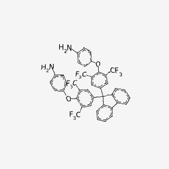 Nc1ccc(Oc2c(C(F)(F)F)cc(C3(c4cc(C(F)(F)F)c(Oc5ccc(N)cc5)c(C(F)(F)F)c4)c4ccccc4-c4ccccc43)cc2C(F)(F)F)cc1